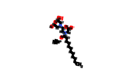 CCCCCCCCCCCC(=O)N(CCN(CCO)CC(=O)[O-])CC(=O)[O-].[Na+].[Na+]